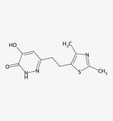 Cc1nc(C)c(CCc2cc(O)c(=O)[nH]n2)s1